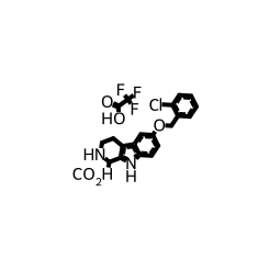 O=C(O)C(F)(F)F.O=C(O)C1NCCc2c1[nH]c1ccc(OCc3ccccc3Cl)cc21